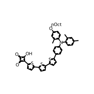 CCCCCCCCOc1ccc(N(c2ccc(-c3ccc(-c4ccc(-c5ccc(-c6c(O)c(=O)c6=O)s5)s4)s3)cc2)c2ccc(C)cc2C)c(C)c1